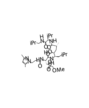 COCS(=O)(=O)C[C@H](NC(=O)CCn1nc(C)cc1C)C(=O)N[C@H](CC(C)C)[C@@H](O)C[C@@H](C)C(=O)N[C@@H](C(=O)NCC(C)C)C(C)C